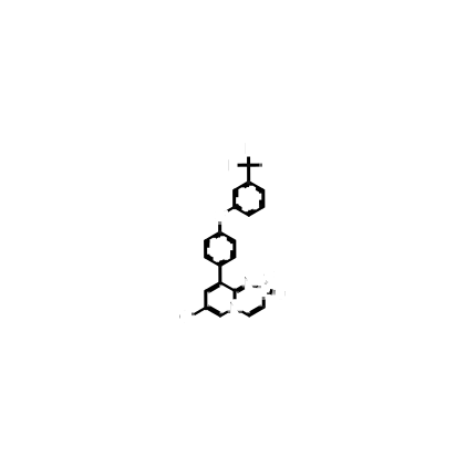 O=S1(=O)C=CN2C=C(Cl)C=C(c3ccc(Oc4cccc(C(F)(F)F)c4)cc3)C2=N1